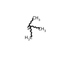 CCCCCCc1csc(CCCCCC)c1CCCCCC